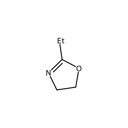 CCC1=NCCO1